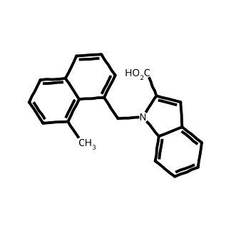 Cc1cccc2cccc(Cn3c(C(=O)O)cc4ccccc43)c12